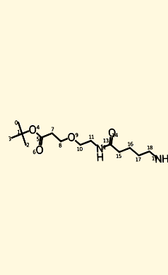 CC(C)(C)OC(=O)CCOCCNC(=O)CCCCN